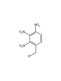 O=[N+]([O-])c1ccc(CCl)c([N+](=O)[O-])c1[N+](=O)[O-]